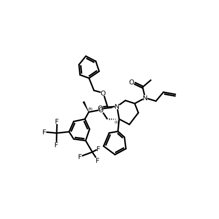 C=CCN(C(C)=O)C1CC[C@@](CO[C@H](C)c2cc(C(F)(F)F)cc(C(F)(F)F)c2)(c2ccccc2)N(C(=O)OCc2ccccc2)C1